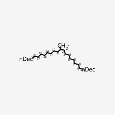 [CH2]C(CCCCCCCCCCCCCCCCCC)CCCCCCCCCCCCCCCCCC